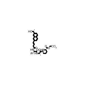 CC(C)[C@H](NC(=O)C/C=C/c1ccc2ccc([C@@H](C)O)cc2c1)C(=O)N[C@@H](C)C(=O)N1CCC[C@@H](C(=O)OCC(Cl)(Cl)Cl)N1